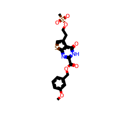 COc1cccc(COC(=O)c2nc3scc(CCOS(C)(=O)=O)c3c(=O)[nH]2)c1